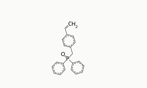 C=Cc1ccc(CP(=O)(c2ccccc2)c2ccccc2)cc1